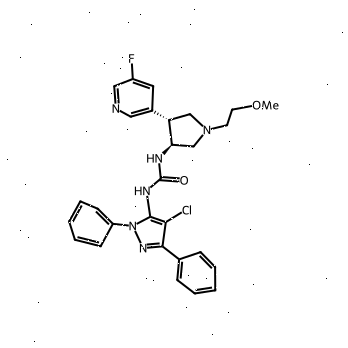 COCCN1C[C@@H](NC(=O)Nc2c(Cl)c(-c3ccccc3)nn2-c2ccccc2)[C@H](c2cncc(F)c2)C1